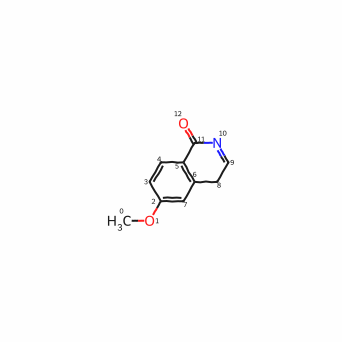 COc1ccc2c(c1)CC=NC2=O